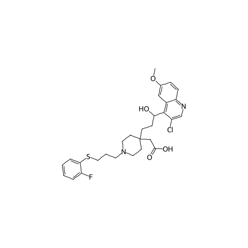 COc1ccc2ncc(Cl)c(C(O)CCC3(CC(=O)O)CCN(CCCSc4ccccc4F)CC3)c2c1